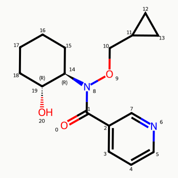 O=C(c1cccnc1)N(OCC1CC1)[C@@H]1CCCC[C@H]1O